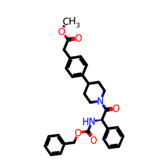 COC(=O)Cc1ccc(C2CCN(C(=O)[C@H](NC(=O)OCc3ccccc3)c3ccccc3)CC2)cc1